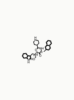 O=C(N[C@H](Cc1ccc2ccccc2c1)C(=O)N[C@@H](CO)Cc1c[nH]c2ccccc12)C1CCNCC1